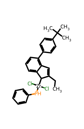 CCC1=Cc2c(-c3ccc(C(C)(C)C)cc3)cccc2[CH]1[Zr]([Cl])([Cl])[PH]c1ccccc1